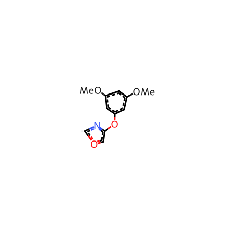 COc1cc(OC)cc(Oc2co[c]n2)c1